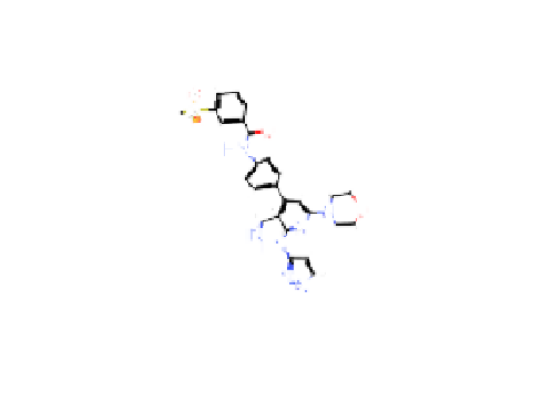 C[C@@H]1COCCN1c1cc(-c2ccc(NC(=O)c3cccc(S(C)(=O)=O)c3)cc2)c(C=N)c(Nc2cc[nH]n2)n1